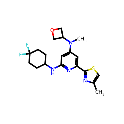 Cc1csc(-c2cc(N(C)C3COC3)cc(NC3CCC(F)(F)CC3)n2)n1